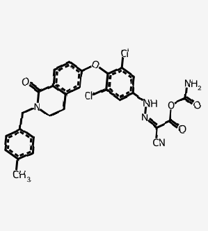 Cc1ccc(CN2CCc3cc(Oc4c(Cl)cc(NN=C(C#N)C(=O)OC(N)=O)cc4Cl)ccc3C2=O)cc1